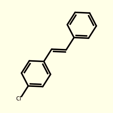 Clc1ccc(C=Cc2ccccc2)cc1